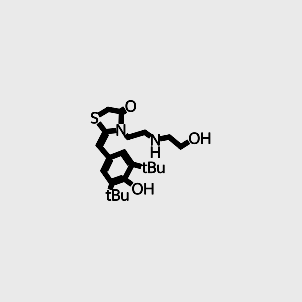 CC(C)(C)c1cc(C=C2SCC(=O)N2CCNCCO)cc(C(C)(C)C)c1O